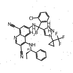 BC(Nc1cc(C#N)c2ncc(C#N)c(N[C@H](CC)c3ccccc3)c2c1)(C1=CN(C2(C(F)(F)F)CC2)NN1)c1ccccc1Cl